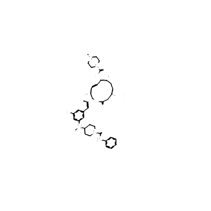 C/C(=C\c1cc(F)cc(N(C)C2CCN(C(=O)Nc3ccccc3)CC2)c1)[C@H]1OC(=O)C[C@H](O)CC[C@H](C)[C@H](OC(=O)N2CCN(C)CC2)/C=C/[C@@H]1C